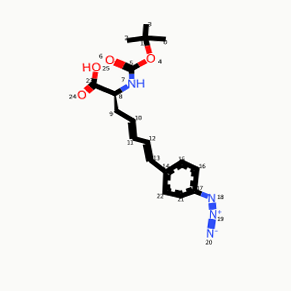 CC(C)(C)OC(=O)N[C@@H](C/C=C/C=C/c1ccc(N=[N+]=[N-])cc1)C(=O)O